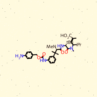 CN[C@H](C(=O)N[C@H](C(=O)N(C)C(/C=C(\C)C(=O)O)C(C)C)C(C)(C)C)C(C)(C)c1cccc(NC(=O)OCc2ccc(N)cc2)c1